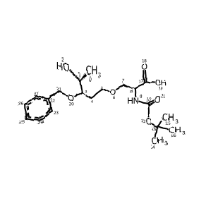 C[C@H](O)[C@@H](CCOC[C@H](NC(=O)OC(C)(C)C)C(=O)O)OCc1ccccc1